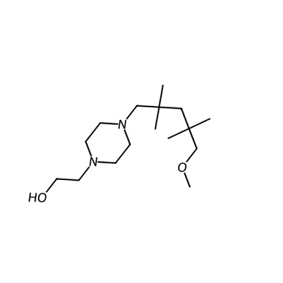 COCC(C)(C)CC(C)(C)CN1CCN(CCO)CC1